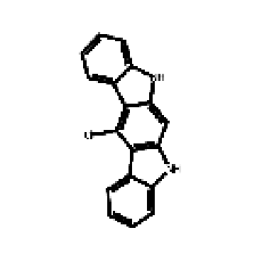 Clc1c2c(cc3[nH]c4ccccc4c13)[nH]c1ccccc12